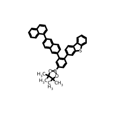 CC1(C)OB(c2ccc(-c3ccc4c(c3)sc3ccccc34)c(-c3ccc4cc(-c5cccc6ccccc56)ccc4c3)c2)OC1(C)C